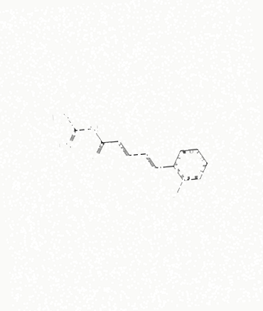 N=C(N)NC(=O)/C=C/C=C/c1ccccc1Br